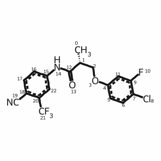 C[C@H](COc1ccc(Cl)c(F)c1)C(=O)Nc1ccc(C#N)c(C(F)(F)F)c1